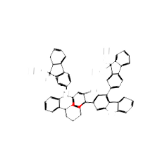 CC1(C)c2ccccc2-c2ccc(-c3c4oc5cc(N(c6ccc7c(c6)C(C)(C)C6CC=CC=C76)c6ccccc6C6CCCCC6)ccc5c4cc4oc5ccccc5c34)cc21